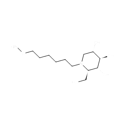 CCCOCCCCCCN1C[C@H](O)[C@@H](O)[C@H](O)[C@H]1CO